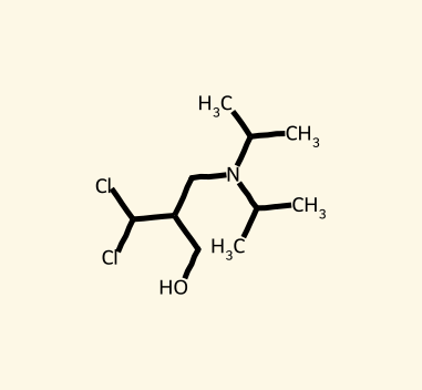 CC(C)N(CC(CO)C(Cl)Cl)C(C)C